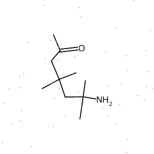 CC(=O)CC(C)(C)CC(C)(C)N